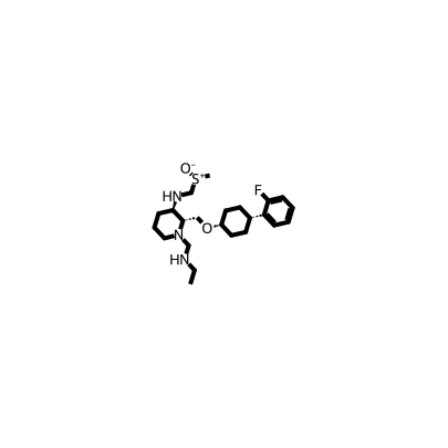 CCNCN1CCC[C@@H](NC[S+](C)[O-])[C@@H]1CO[C@H]1CC[C@@H](c2ccccc2F)CC1